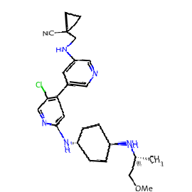 COC[C@@H](C)N[C@H]1CC[C@H](Nc2cc(-c3cncc(NCC4(C#N)CC4)c3)c(Cl)cn2)CC1